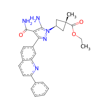 CCOC(=O)[C@]1(C)C[C@@H](n2nc(-c3ccc4ccc(-c5ccccc5)nc4c3)c(C(N)=O)c2N)C1